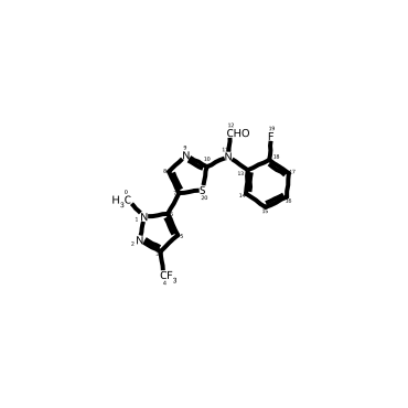 Cn1nc(C(F)(F)F)cc1-c1cnc(N(C=O)c2ccccc2F)s1